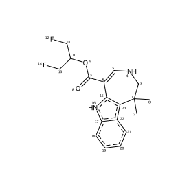 CC1(C)CNC=C(C(=O)OC(CF)CF)c2[nH]c3ccccc3c21